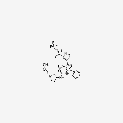 COCCN1CC[C@H](NC(=O)Nc2c(C)c(-c3ccnc(C(=O)NCC(F)(F)F)c3)nn2-c2ccccc2)C1